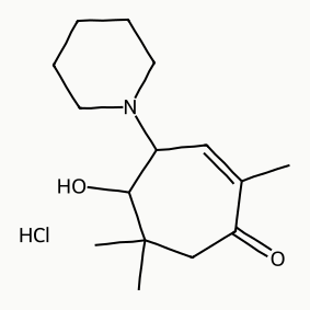 CC1=CC(N2CCCCC2)C(O)C(C)(C)CC1=O.Cl